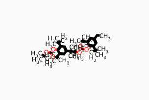 CCc1cc(C(C)(C)C)c(OC(=O)OC(C)(C)C(C)(C)c2cc(C(C)(C)C)c(OC(=O)OC(C)(C)C)c(C(C)(C)C)c2)c(C(C)(C)C)c1